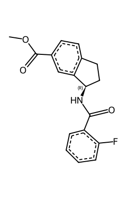 COC(=O)c1ccc2c(c1)[C@H](NC(=O)c1ccccc1F)CC2